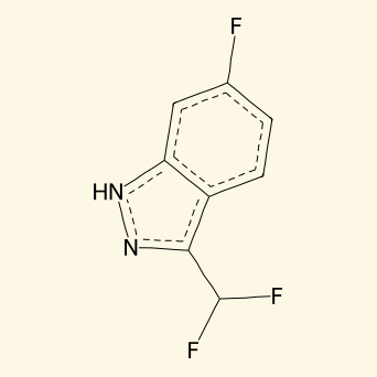 Fc1ccc2c(C(F)F)n[nH]c2c1